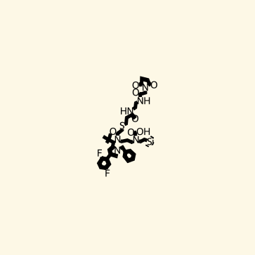 CC(C)(C)[C@H](c1cc(-c2cc(F)ccc2F)cn1Cc1ccccc1)N(CCCN(CC[Si](C)(C)C)C(=O)O)C(=O)CSCCC(=O)NCCNC(=O)CN1C(=O)C=CC1=O